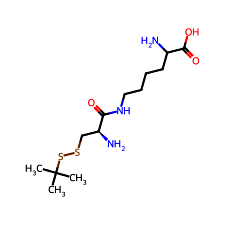 CC(C)(C)SSC[C@H](N)C(=O)NCCCCC(N)C(=O)O